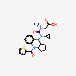 CN(CC(=O)O)C(=O)N(C1CC1)C1c2ccccc2N(C(=O)c2cccs2)C2CCCC21